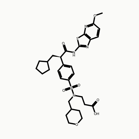 COc1ccc2nc(NC(=O)[C@H](CC3CCCC3)c3ccc(S(=O)(=O)N(CCC(=O)O)CC4CCOCC4)cc3)sc2n1